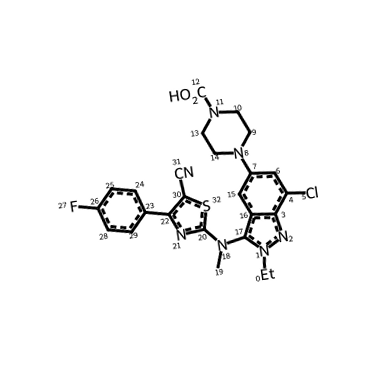 CCn1nc2c(Cl)cc(N3CCN(C(=O)O)CC3)cc2c1N(C)c1nc(-c2ccc(F)cc2)c(C#N)s1